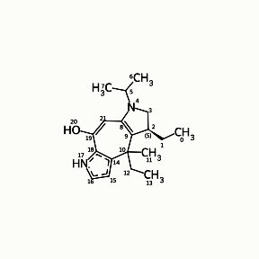 CC[C@@H]1CN(C(C)C)C2=C1C(C)(CC)c1cc[nH]c1C(O)=C2